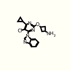 NC1CC(Oc2nc(C3CC3)c(Cl)c(-n3cnc4ccccc43)n2)C1